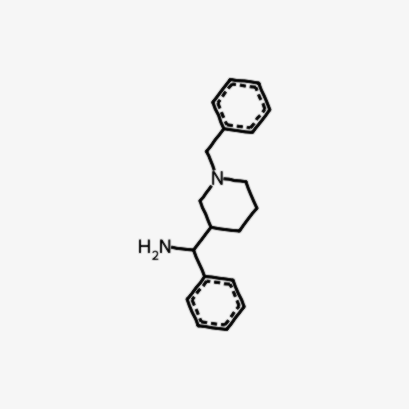 NC(c1ccccc1)C1CCCN(Cc2ccccc2)C1